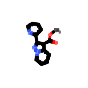 COC(=O)c1c(-c2ccccn2)nn2ccccc12